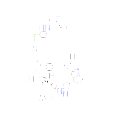 COCc1nc2cc(-c3ccnc4c3cc([C@H](C)N3CCC(c5ccc(C(=O)N6CCC(CN7CCC(c8ccc(NC9CCC(=O)NC9=O)cc8F)C(F)(F)C7)CC6)cc5)CC3)n4C)ccc2n1COCC[Si](C)(C)C